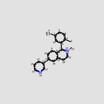 CCc1ccc(C)c(-c2c3ccc(-c4cccnc4)cc3cc[n+]2C)c1